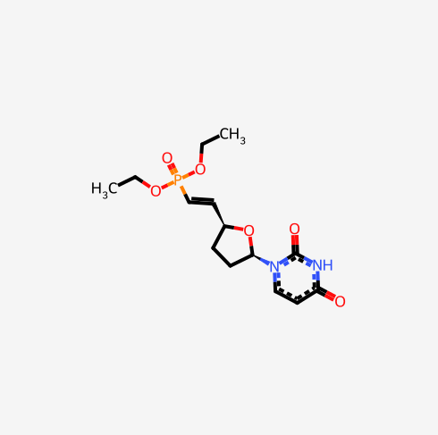 CCOP(=O)(/C=C/[C@@H]1CC[C@H](n2ccc(=O)[nH]c2=O)O1)OCC